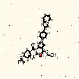 CCOC(=O)c1cn(-c2ccc(-c3cn4ccccc4n3)cc2)nc1N(C(=O)[C@H]1CC[C@H](C(F)(F)F)CC1)C(C)C